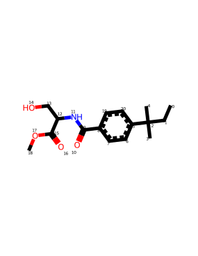 CCC(C)(C)c1ccc(C(=O)NC(CO)C(=O)OC)cc1